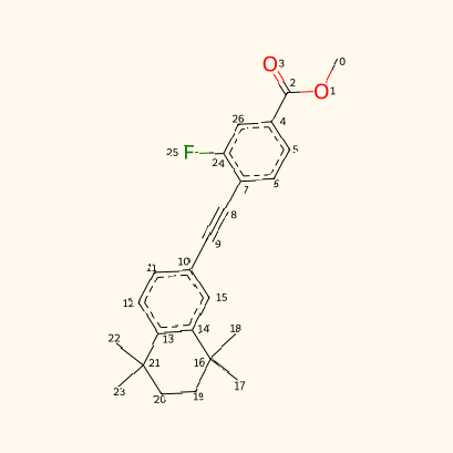 COC(=O)c1ccc(C#Cc2ccc3c(c2)C(C)(C)CCC3(C)C)c(F)c1